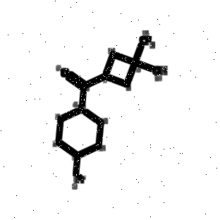 CC(C)C1CCN(C(=O)C2CC(O)(C(F)(F)F)C2)CC1